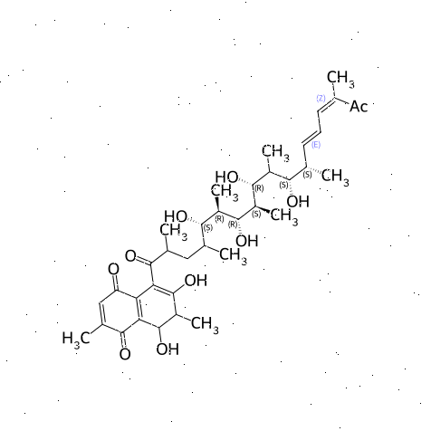 CC(=O)/C(C)=C\C=C\[C@H](C)[C@H](O)C(C)[C@@H](O)[C@@H](C)[C@H](O)[C@H](C)[C@@H](O)C(C)CC(C)C(=O)C1=C(O)C(C)C(O)C2=C1C(=O)C=C(C)C2=O